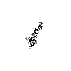 C[C@@]1(C(F)(F)F)CN(C(=O)Nc2cnc(-n3cc(O)cn3)c(Cl)c2)c2cnc3cc(Cl)nn3c21